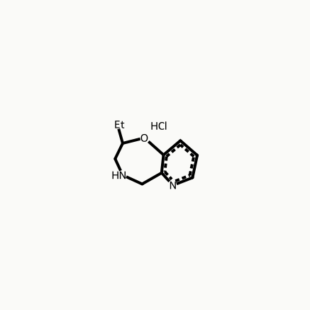 CCC1CNCc2ncccc2O1.Cl